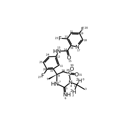 [2H]C([2H])(C)N1C(=N)N[C@](C)(c2cc(NC(=O)c3ncc(F)cc3F)ccc2F)CS1(=O)=O